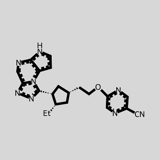 CC[C@H]1C[C@@H](CCOc2cnc(C#N)cn2)C[C@H]1c1nnc2cnc3[nH]ccc3n12